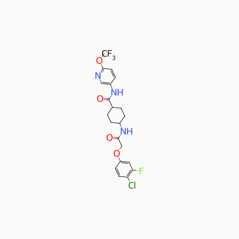 O=C(COc1ccc(Cl)c(F)c1)NC1CCC(C(=O)Nc2ccc(OC(F)(F)F)nc2)CC1